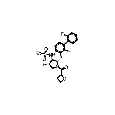 CCS(=O)(=O)N[C@H]1[C@@H](F)CN(C(=O)C2CCO2)[C@H]1Cc1cccc(-c2ccccc2F)c1F